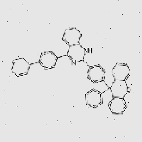 C1=CCC(c2ccc(C3=NC(c4ccc(C5(c6ccccc6)c6ccccc6OC6=CC=CCC65)cc4)NC4=CCCC=C43)cc2)C=C1